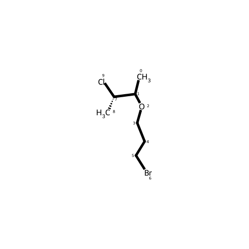 CC(OCCCBr)[C@H](C)Cl